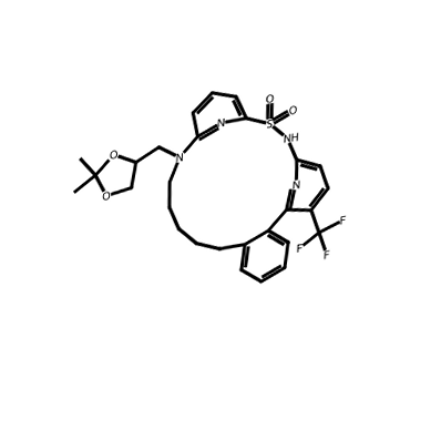 CC1(C)OCC(CN2CCCCCc3ccccc3-c3nc(ccc3C(F)(F)F)NS(=O)(=O)c3cccc2n3)O1